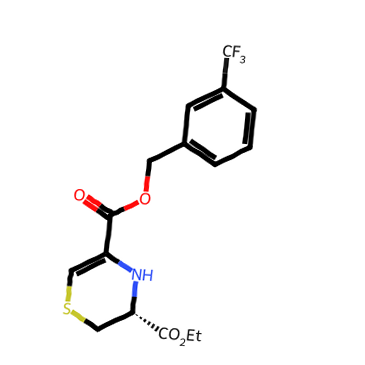 CCOC(=O)[C@@H]1CSC=C(C(=O)OCc2cccc(C(F)(F)F)c2)N1